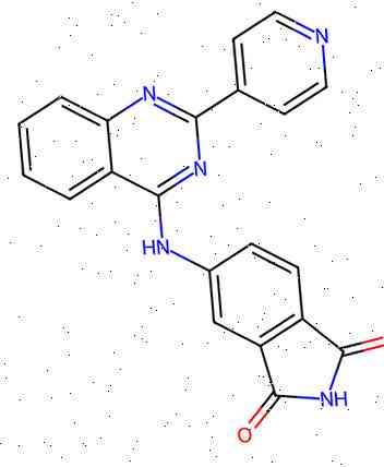 O=C1NC(=O)c2cc(Nc3nc(-c4ccncc4)nc4ccccc34)ccc21